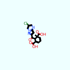 CC1(C(=O)O)C=CC=C(C(=O)O)C1C(=O)c1cc2ncc(Cl)cn2n1